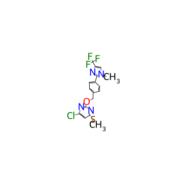 CSc1cc(Cl)nc(OCc2ccc(-c3nc(C(F)(F)F)cn3C)cc2)n1